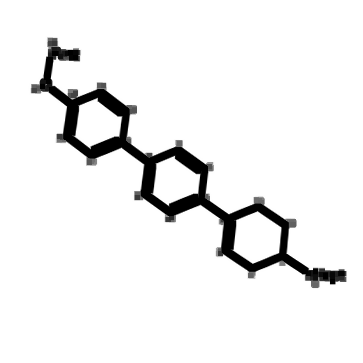 CCCCCCCC1CC=C(c2ccc(-c3ccc(OC(C)CCC)cc3)cc2)CC1